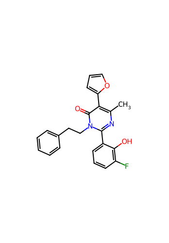 Cc1nc(-c2cccc(F)c2O)n(CCc2ccccc2)c(=O)c1-c1ccco1